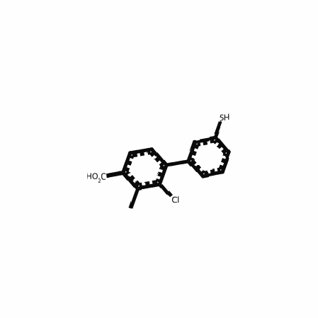 Cc1c(C(=O)O)ccc(-c2cccc(S)c2)c1Cl